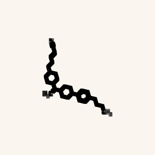 C=C(C1CCC(CCC=CC#N)CC1)C1CCC(c2ccc(CCCC)cc2)CC1